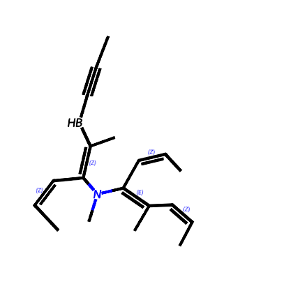 CC#CB/C(C)=C(\C=C/C)N(C)C(/C=C\C)=C(C)/C=C\C